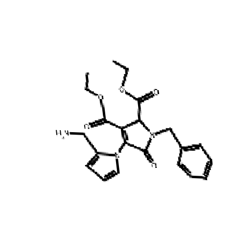 CCOC(=O)C1=C(n2cccc2CN)C(=O)N(Cc2ccccc2)C1C(=O)OCC